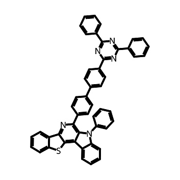 c1ccc(-c2nc(-c3ccccc3)nc(-c3ccc(-c4ccc(-c5nc6c7ccccc7sc6c6c7ccccc7n(-c7ccccc7)c56)cc4)cc3)n2)cc1